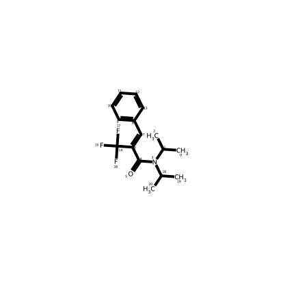 CC(C)N(C(=O)C(=Cc1ccccc1)C(F)(F)F)C(C)C